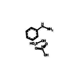 NNc1ccccc1.O=S(=O)(O)O.O=[SH](=O)O